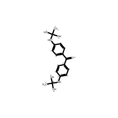 CC(O)(O)Nc1ccc(C(=O)c2ccc(NC(C)(O)O)cc2)cc1